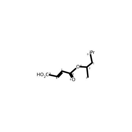 CC(C)CC(C)OC(=O)C=CC(=O)O